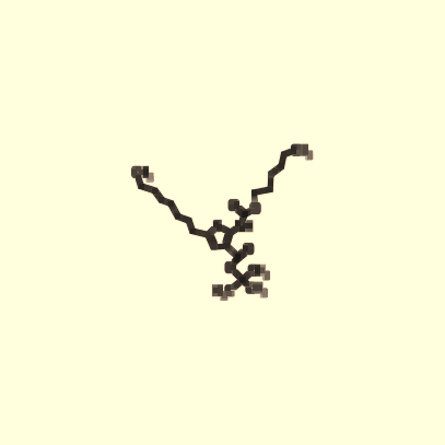 CCCCCCCCc1cc(C(=O)OC(C)(C)C)c(NC(=O)OCCCCCC)s1